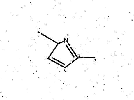 CC1=NC(C)C=C1